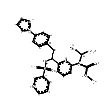 CC(C)(C)OC(=O)N(c1cccc(C(Cc2ccc(-n3cccn3)cc2)NS(=O)(=O)c2cccnc2)n1)C(C(=O)O)C(C)(C)C